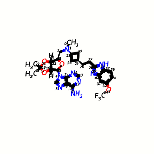 CN(C[C@H]1O[C@@H](n2cnc3c(N)ncnc32)[C@@H]2OC(C)(C)O[C@@H]21)[C@H]1C[C@H](CCc2nc3cc(OC(F)(F)F)ccc3[nH]2)C1